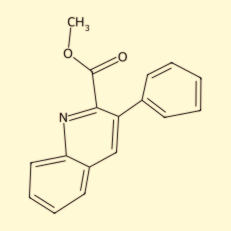 COC(=O)c1nc2ccccc2cc1-c1ccccc1